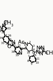 CC(=O)N1CCC(C(c2ccccc2)n2nnc(C)n2)CC1c1cc(-c2nc3cc(-c4cnn(C)c4)ccc3o2)ccn1